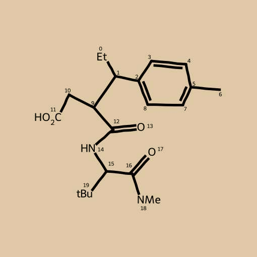 CCC(c1ccc(C)cc1)C(CC(=O)O)C(=O)NC(C(=O)NC)C(C)(C)C